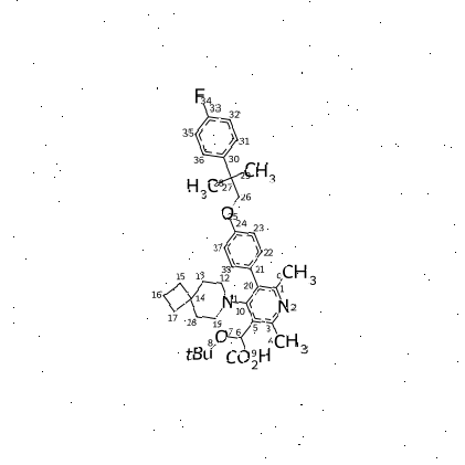 Cc1nc(C)c(C(OC(C)(C)C)C(=O)O)c(N2CCC3(CCC3)CC2)c1-c1ccc(OCC(C)(C)c2ccc(F)cc2)cc1